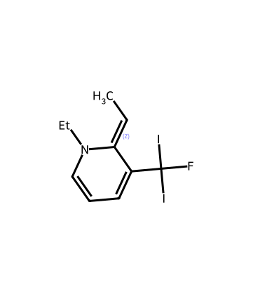 C/C=C1/C(C(F)(I)I)=CC=CN1CC